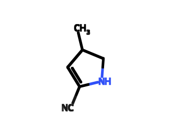 CC1C=C(C#N)NC1